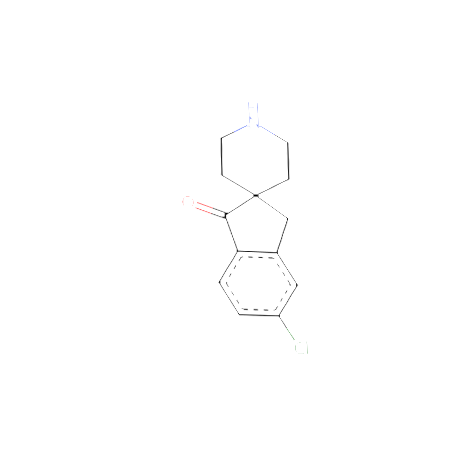 O=C1c2ccc(Cl)cc2CC12CCNCC2